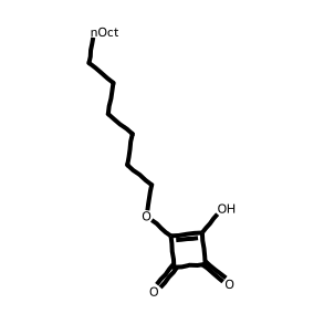 CCCCCCCCCCCCCCOc1c(O)c(=O)c1=O